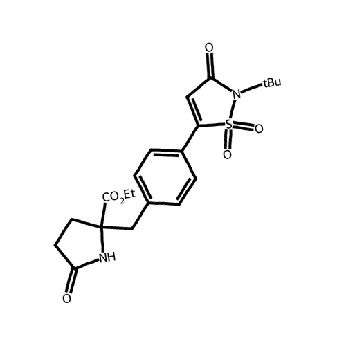 CCOC(=O)C1(Cc2ccc(C3=CC(=O)N(C(C)(C)C)S3(=O)=O)cc2)CCC(=O)N1